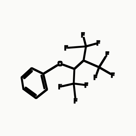 FC(F)(F)C(Oc1ccccc1)C(C(F)(F)F)C(F)(F)F